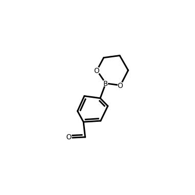 O=Cc1ccc(B2OCCCO2)cc1